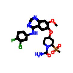 COc1cc2ncnc(Nc3ccc(F)c(Cl)c3)c2cc1OC1CCN(C(N)=O)C(S(C)(=O)=O)C1